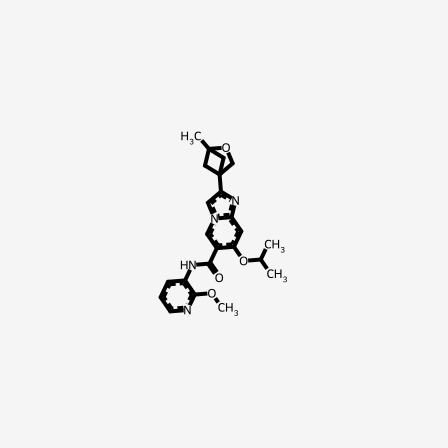 COc1ncccc1NC(=O)c1cn2cc(C34COC(C)(C3)C4)nc2cc1OC(C)C